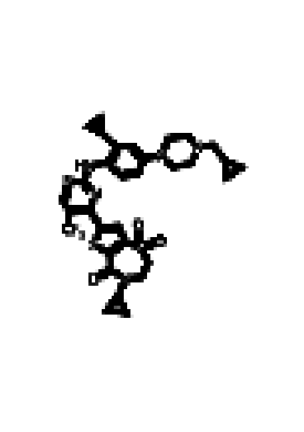 O=C1c2sc(-c3nc(Nc4ccc(N5CCN(CC6CC6)CC5)cc4C4CC4)ncc3C(F)(F)F)cc2S(=O)(=O)CCN1C1CC1